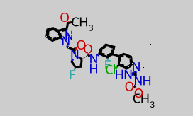 COC(=O)Nc1nc2ccc(-c3cccc(NC(=O)[C@@H]4C[C@@H](F)CN4C(=O)Cn4nc(C(C)=O)c5ccccc54)c3F)c(Cl)c2[nH]1